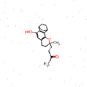 CC(=O)CCC1(C)CCc2cc(O)c3c(c2O1)C1CCC3CC1